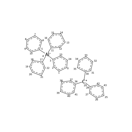 c1cc[c]([Al-]([c]2ccccc2)([c]2ccccc2)[c]2ccccc2)cc1.c1ccc([C+](c2ccccc2)c2ccccc2)cc1